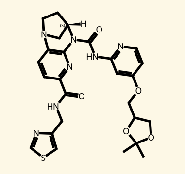 CC1(C)OCC(COc2ccnc(NC(=O)N3c4nc(C(=O)NCc5cscn5)ccc4N4CC[C@H]3C4)c2)O1